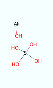 O[Si](O)(O)O.[OH][Al]